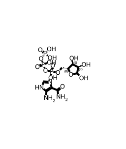 NC(=O)c1nc[nH]c1N.O=P(O)(O)OP(=O)(O)OP(=O)(O)OC[C@H]1OC(O)[C@H](O)[C@@H]1O